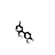 CC(C)n1cc(-c2cc(Br)cnc2N)ccc1=O